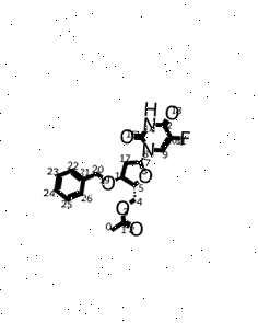 CC(=O)OC[C@H]1O[C@@H](n2cc(F)c(=O)[nH]c2=O)C[C@@H]1OCc1ccccc1